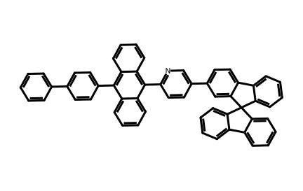 c1ccc(-c2ccc(-c3c4ccccc4c(-c4ccc(-c5ccc6c(c5)C5(c7ccccc7-c7ccccc75)c5ccccc5-6)cn4)c4ccccc34)cc2)cc1